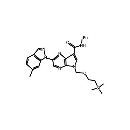 Cc1ccc2cnn(-c3cnc4c(n3)c(C(=O)NC(C)(C)C)cn4COCC[Si](C)(C)C)c2c1